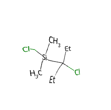 CCC(Cl)(CC)[Si](C)(C)Cl